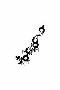 C=C1CCN(CCN2CCc3nc(Nc4ncc(F)c(-c5cc(F)c6nc(C)n(C(C)(C)C)c6c5)n4)ccc3C2)CC1